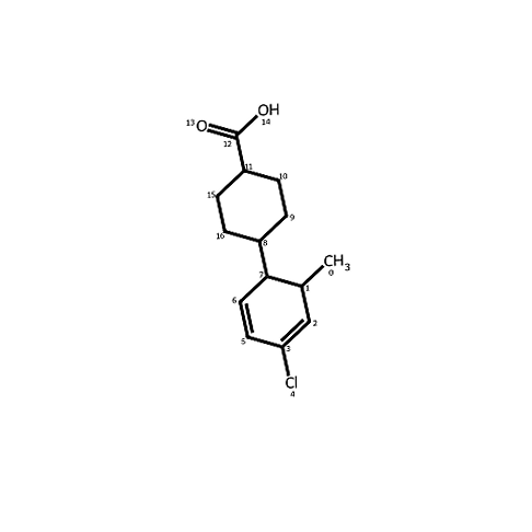 CC1C=C(Cl)C=CC1C1CCC(C(=O)O)CC1